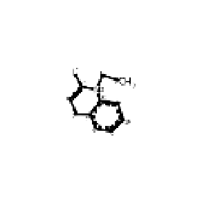 CCN1C(I)=CCc2ccccc21